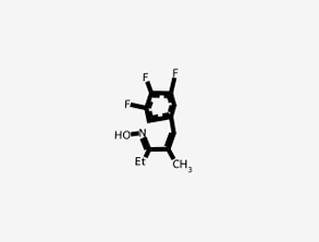 CCC(=NO)C(C)=Cc1cc(F)c(F)c(F)c1